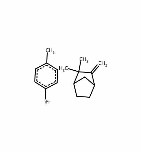 C=C1C2CCC(C2)C1(C)C.Cc1ccc(C(C)C)cc1